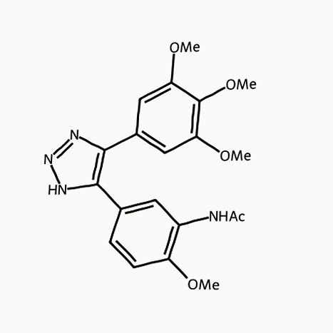 COc1ccc(-c2[nH]nnc2-c2cc(OC)c(OC)c(OC)c2)cc1NC(C)=O